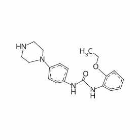 CCOc1ccccc1NC(=O)Nc1ccc(N2CCNCC2)cc1